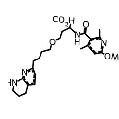 COc1cc(C)c(C(=O)NC(CCOCCCCc2ccc3c(n2)NCCC3)C(=O)O)c(C)n1